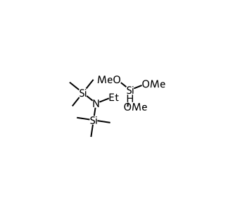 CCN([Si](C)(C)C)[Si](C)(C)C.CO[SiH](OC)OC